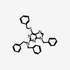 c1ccc(CSc2nc(N(Cc3ccccc3)Cc3ccccc3)nc3c2ncn3Cc2ccccc2)cc1